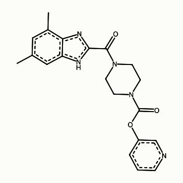 Cc1cc(C)c2nc(C(=O)N3CCN(C(=O)Oc4cccnc4)CC3)[nH]c2c1